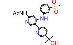 CC(=O)Nc1cc(Nc2cccc(S(C)(=O)=O)c2)c(-c2ccc(C(C)(C)O)cn2)cn1